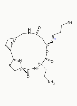 C[C@@]12CSC(=N1)C1=CCC(=N1)CNC(=O)C[C@@H](/C=C/CCS)OC(=O)[C@H](CCN)NC2=O